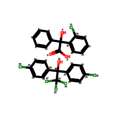 O=C(O)C(O)(c1ccccc1)c1ccccc1Cl.OC(c1ccc(Cl)cc1)(c1ccc(Cl)cc1)C(Cl)(Cl)Cl